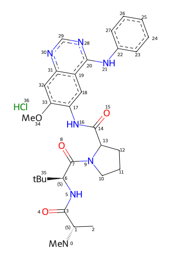 CN[C@@H](C)C(=O)N[C@H](C(=O)N1CCCC1C(=O)Nc1cc2c(Nc3ccccc3)ncnc2cc1OC)C(C)(C)C.Cl